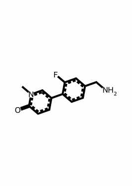 Cn1cc(-c2ccc(CN)cc2F)ccc1=O